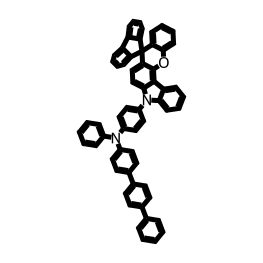 c1ccc(-c2ccc(-c3ccc(N(c4ccccc4)c4ccc(-n5c6ccccc6c6c7c(ccc65)C5(c6ccccc6O7)c6ccccc6-c6ccccc65)cc4)cc3)cc2)cc1